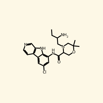 CCC(N)CN1CC(C)(C)OCC1C(=O)Nc1cc(Cl)cc2c1[nH]c1cnccc12